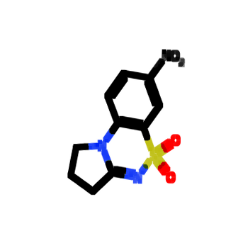 O=[N+]([O-])c1ccc2c(c1)S(=O)(=O)N=C1CCCN12